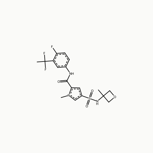 Cn1cc(S(=O)(=O)NC2(C)COC2)cc1C(=O)Nc1ccc(F)c(C(C)(F)F)c1